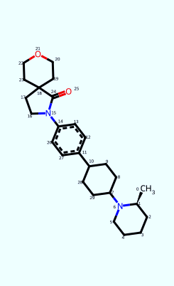 C[C@H]1CCCCN1C1CCC(c2ccc(N3CCC4(CCOCC4)C3=O)cc2)CC1